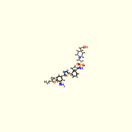 CC(C)Oc1ccc(-c2ncc(-c3cccc4c3CC[C@@H]4NS(=O)(=O)CCN3CCC(CO)CC3)s2)cc1N